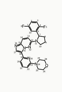 Fc1ccc(F)c(C2CCCN2c2ccc3ncc(-c4cccc(N5CCOCC5)n4)n3n2)c1